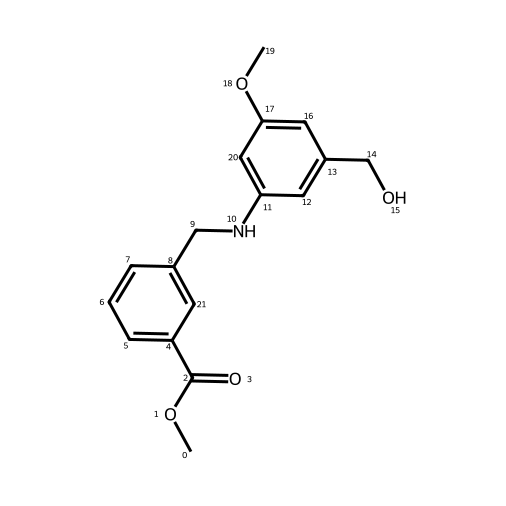 COC(=O)c1cccc(CNc2cc(CO)cc(OC)c2)c1